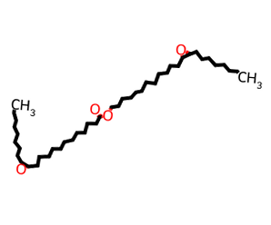 CCCCCCCCC1OC1CCCCCCCCCCCCOC(=O)CCCCCCCCCCCC1OC1CCCCCCCC